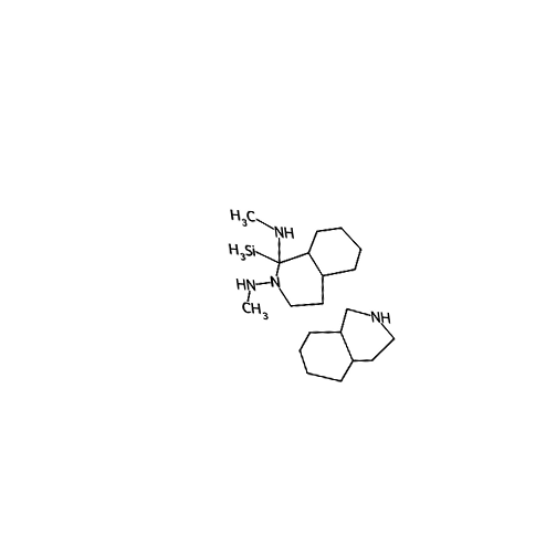 C1CCC2CNCCC2C1.CNN1CCC2CCCCC2C1([SiH3])NC